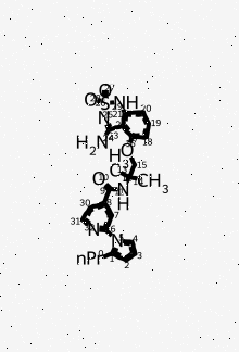 CCCc1cccn1-c1cc(C(=O)NC(C)(C)COc2cccc3c2C(N)=NS(=O)(=O)N3)ccn1